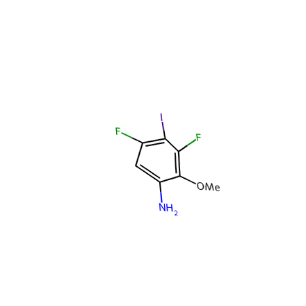 COc1c(N)cc(F)c(I)c1F